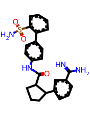 N=C(N)c1cccc(C2CCCC2C(=O)Nc2ccc(-c3ccccc3S(N)(=O)=O)cc2)c1